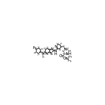 CCN(CC)OC(=O)C1CN(Cc2ccnc(Nc3nc4ccc(N(C)c5ccc(F)cc5)nc4s3)c2)CCN1